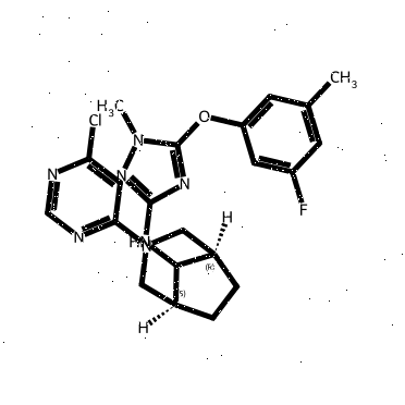 Cc1cc(F)cc(Oc2nc(NC3[C@@H]4CC[C@H]3CN(c3cc(Cl)ncn3)C4)nn2C)c1